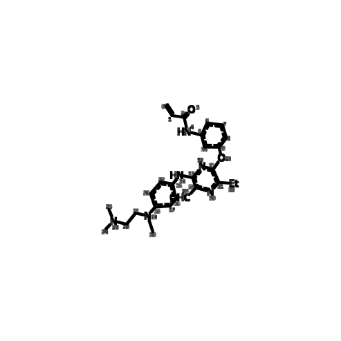 C=CC(=O)Nc1cccc(Oc2nc(Nc3ccc(N(C)CCN(C)C)cc3)c(C=O)nc2CC)c1